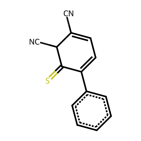 N#CC1=CC=C(c2ccccc2)C(=S)C1C#N